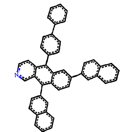 c1ccc(-c2ccc(-c3c4ccncc4c(-c4ccc5ccccc5c4)c4ccc(-c5ccc6ccccc6c5)cc34)cc2)cc1